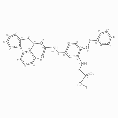 COC(=O)CNc1cc(CNC(=O)OC(Cc2ccccc2)c2ccccc2)ccc1OCc1ccccc1